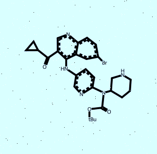 CC(C)(C)OC(=O)N(c1ccc(Nc2c(C(=O)C3CC3)cnc3ccc(Br)cc23)cn1)C1CCCNC1